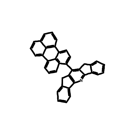 c1ccc2c(c1)Cc1c-2nc2c(c1-c1ccc3c4cccc5cccc(c6cccc1c63)c54)Cc1ccccc1-2